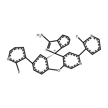 NC1=N[C@@]2(c3cc(-c4cccnc4F)ccc3Oc3cnc(-c4cccnc4F)cc32)c2ccccc21